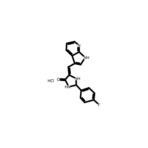 Cl.O=C1NC(c2ccc(F)cc2)N/C1=C\c1c[nH]c2ncccc12